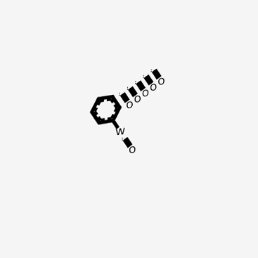 [C]=O.[C]=O.[C]=O.[C]=O.[C]=O.[C]=O.[W][c]1ccccc1